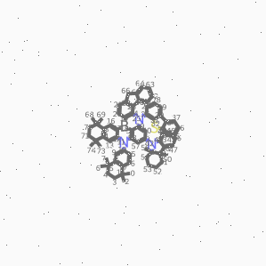 CC1(C)CCC(C)(C)c2cc(N3c4cc5c(cc4B4c6ccc7c(c6N(c6cccc8c6sc6ccccc68)c6cc(N8c9ccccc9C9(C)CCCCC89C)cc3c64)-c3ccccc3C7)C(C)(C)CCC5(C)C)ccc21